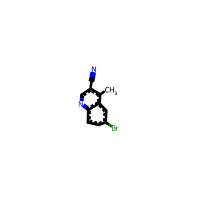 Cc1c(C#N)cnc2ccc(Br)cc12